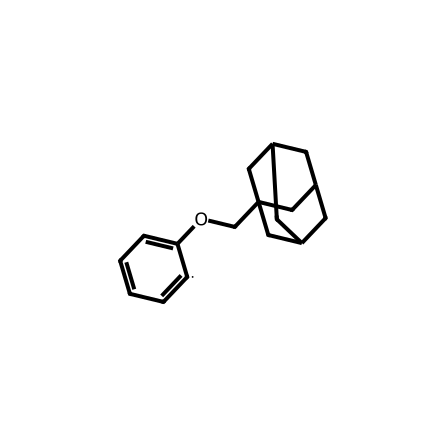 [c]1ccccc1OCC12CC3CC(CC(C3)C1)C2